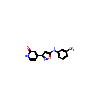 O=c1cc(-c2cc(Nc3cccc(C(F)(F)F)c3)on2)cc[nH]1